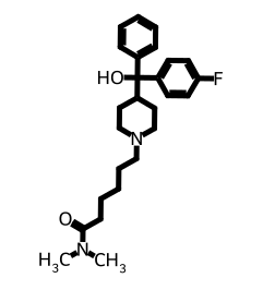 CN(C)C(=O)CCCCCN1CCC(C(O)(c2ccccc2)c2ccc(F)cc2)CC1